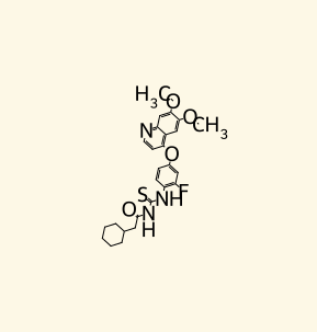 COc1cc2nccc(Oc3ccc(NC(=S)NC(=O)CC4CCCCC4)c(F)c3)c2cc1OC